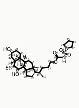 CC[C@H]1[C@@H](O)[C@@H]2[C@H](CC[C@]3(C)[C@@H]([C@H](C)CCCOC(=O)NS(=O)(=O)N4CCCC4)CC[C@@H]23)[C@@]2(C)CC[C@@H](O)C[C@@H]12